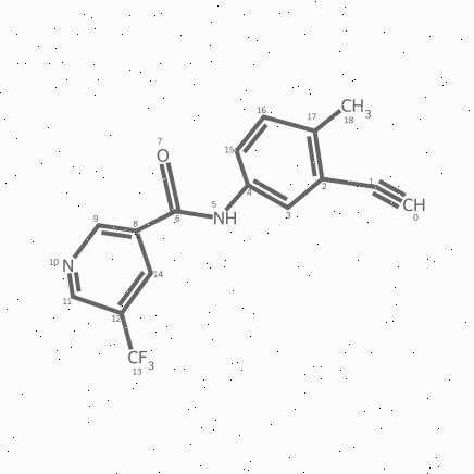 C#Cc1cc(NC(=O)c2cncc(C(F)(F)F)c2)ccc1C